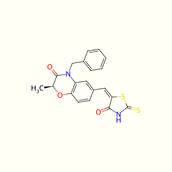 C[C@@H]1Oc2ccc(C=C3SC(=S)NC3=O)cc2N(Cc2ccccc2)C1=O